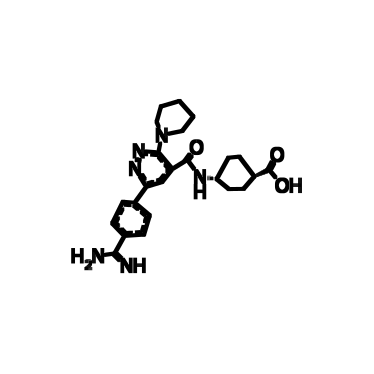 N=C(N)c1ccc(-c2cc(C(=O)N[C@H]3CC[C@H](C(=O)O)CC3)c(N3CCCCC3)nn2)cc1